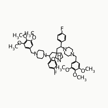 COc1cc(CN2CCN(C(CC3(CC(c4ccc(F)cc4)N4CCN(Cc5cc(OC)c(OC)c(OC)c5)CC4)CCNC3=O)c3ccc(F)cc3)CC2)cc(OC)c1OC